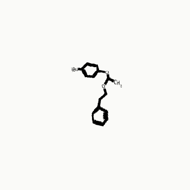 CCC(C)c1ccc(OC(C)OCCc2ccccc2)cc1